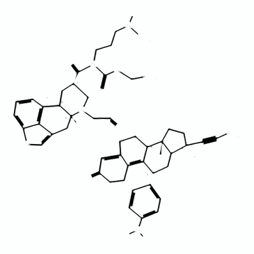 C=CCN1C[C@H](C(=O)N(CCCN(C)C)C(=O)NCC)C[C@@H]2c3cccc4[nH]cc(c34)C[C@H]21.CC#C[C@]1(O)CC[C@H]2[C@@H]3CCC4=CC(=O)CCC4=C3[C@@H](c3ccc(N(C)C)cc3)C[C@@]21C